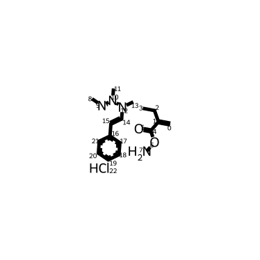 C=C(CC)C(=O)ON.C[N]N(C)N(C)C=Cc1ccccc1.Cl